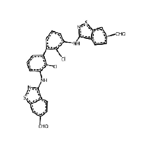 O=Cc1ccc2c(Nc3cccc(-c4cccc(Nc5nsc6cc(C=O)ccc56)c4Cl)c3Cl)nsc2c1